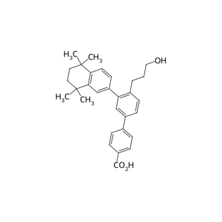 CC1(C)CCC(C)(C)c2cc(-c3cc(-c4ccc(C(=O)O)cc4)ccc3CCCO)ccc21